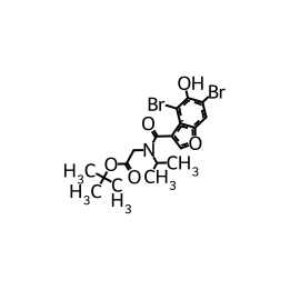 CC(C)N(CC(=O)OC(C)(C)C)C(=O)c1coc2cc(Br)c(O)c(Br)c12